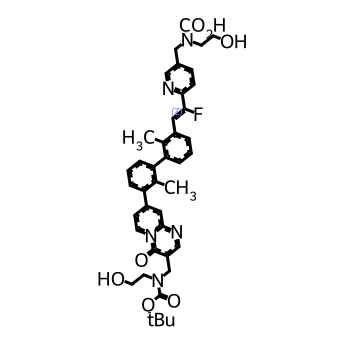 Cc1c(/C=C(\F)c2ccc(CN(CCO)C(=O)O)cn2)cccc1-c1cccc(-c2ccn3c(=O)c(CN(CCO)C(=O)OC(C)(C)C)cnc3c2)c1C